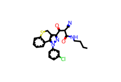 CCCCNC(=O)C(C#N)C(=O)c1nn(-c2cccc(Cl)c2)c2c1CSc1ccccc1-2